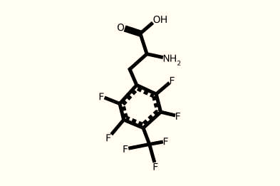 NC(Cc1c(F)c(F)c(C(F)(F)F)c(F)c1F)C(=O)O